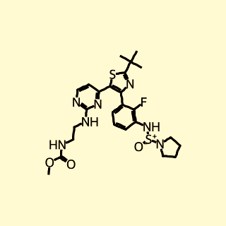 COC(=O)NCCNc1nccc(-c2sc(C(C)(C)C)nc2-c2cccc(N[S+]([O-])N3CCCC3)c2F)n1